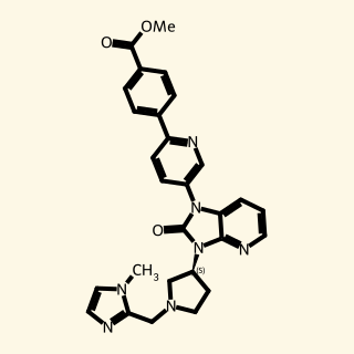 COC(=O)c1ccc(-c2ccc(-n3c(=O)n([C@H]4CCN(Cc5nccn5C)C4)c4ncccc43)cn2)cc1